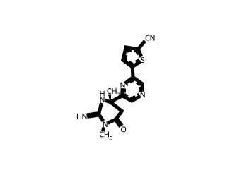 CN1C(=N)N[C@](C)(c2cncc(-c3ccc(C#N)s3)n2)CC1=O